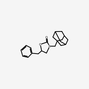 O=C1OC(Cc2ccccc2)CN1CC12CC3CC(CC(C3)C1)C2